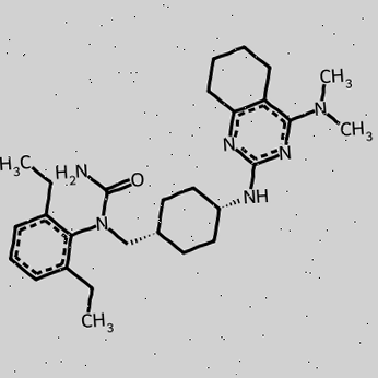 CCc1cccc(CC)c1N(C[C@H]1CC[C@@H](Nc2nc3c(c(N(C)C)n2)CCCC3)CC1)C(N)=O